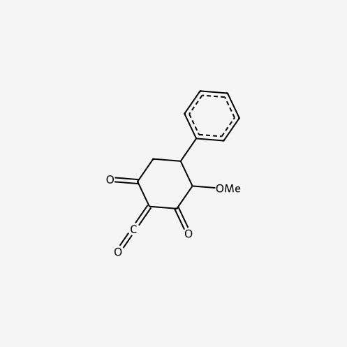 COC1C(=O)C(=C=O)C(=O)CC1c1ccccc1